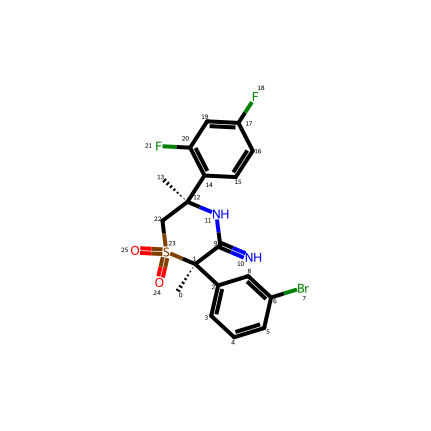 C[C@@]1(c2cccc(Br)c2)C(=N)N[C@](C)(c2ccc(F)cc2F)CS1(=O)=O